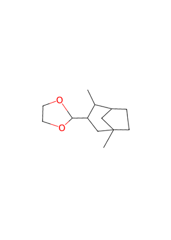 CC1C2CCC(C)(C2)CC1C1OCCO1